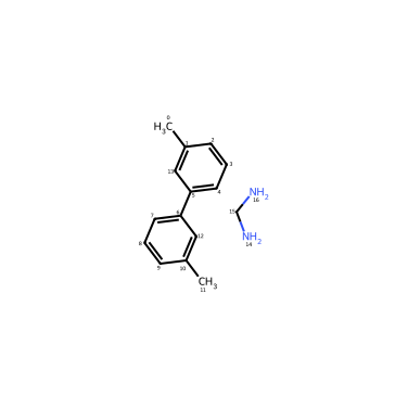 Cc1cccc(-c2cccc(C)c2)c1.NCN